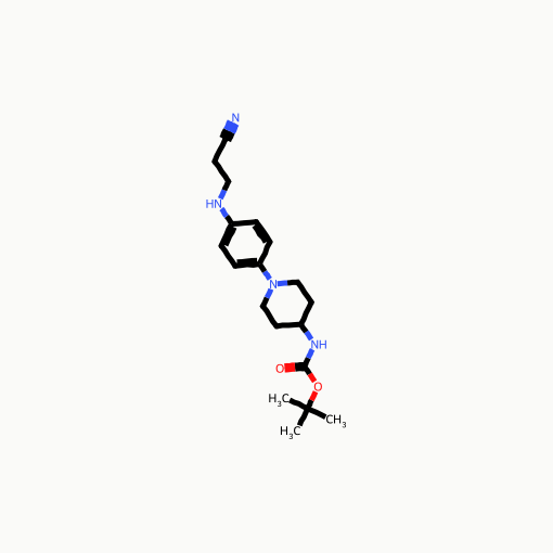 CC(C)(C)OC(=O)NC1CCN(c2ccc(NCCC#N)cc2)CC1